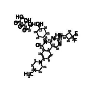 CN1CCN(c2ccc3c(c2)c(=O)n([C@H]2CC[C@H](O)CC2)c2nc(NC4CC(F)(F)C4)ncc32)CC1.O=CO.O=CO.O=CO